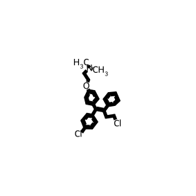 CN(C)CCOc1ccc(/C(=C(/CCCl)c2ccccc2)c2ccc(Cl)cc2)cc1